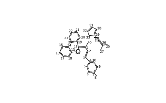 CC(C=Cc1ccc(C)cc1)=C(Oc1ccccc1)c1ccccc1.C[C](C)=[Ti][C]1=CC=CC1